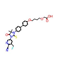 CC1(C)C(=O)N(c2cnc(C#N)c(CF)c2)C(=S)N1c1ccc(-c2ccc(OCCCCOCC(=O)O)cc2)cc1